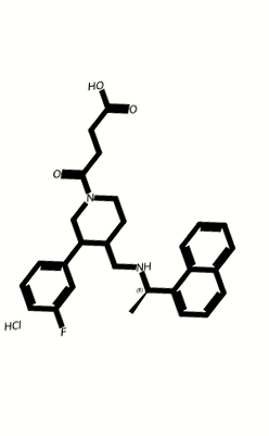 C[C@@H](NCC1CCN(C(=O)CCC(=O)O)CC1c1cccc(F)c1)c1cccc2ccccc12.Cl